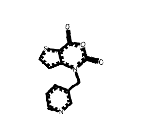 O=c1oc(=O)n(Cc2cccnc2)c2ccsc12